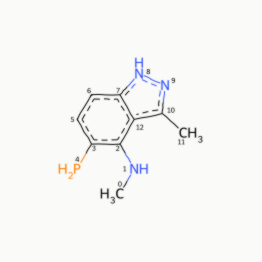 CNc1c(P)ccc2[nH]nc(C)c12